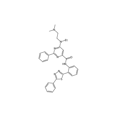 CCN(CCN(C)C)c1cc(C(=O)Nc2ccccc2-c2nnc(-c3ccccc3)s2)nc(-c2ccccc2)n1